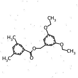 CCOc1cc(COC(=O)c2cc(C)cc(C)c2)cc(OCC)c1